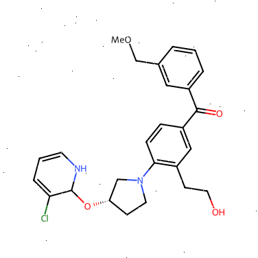 COCc1cccc(C(=O)c2ccc(N3CC[C@H](OC4NC=CC=C4Cl)C3)c(CCO)c2)c1